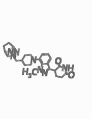 Cn1nc(C2CCC(=O)NC2=O)c2cccc(N3CCC(CN4CC5CCC(C4)N5)CC3)c21